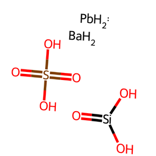 O=S(=O)(O)O.O=[Si](O)O.[BaH2].[PbH2]